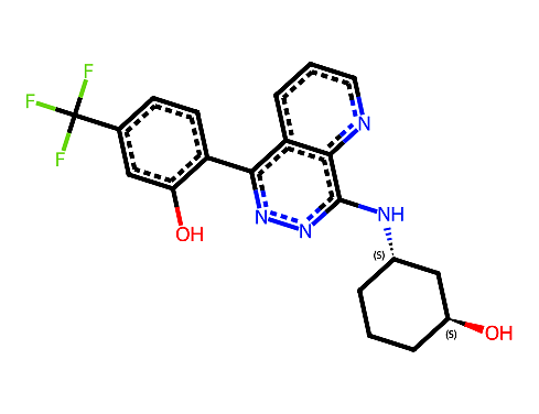 Oc1cc(C(F)(F)F)ccc1-c1nnc(N[C@H]2CCC[C@H](O)C2)c2ncccc12